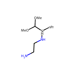 CCC[SiH](NCCN)C(OC)OC